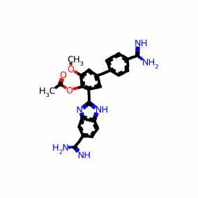 COc1cc(-c2ccc(C(=N)N)cc2)cc(-c2nc3cc(C(=N)N)ccc3[nH]2)c1OC(C)=O